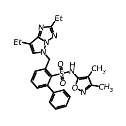 CCc1nc2c(CC)cn(Cc3cccc(-c4ccccc4)c3S(=O)(=O)Nc3onc(C)c3C)n2n1